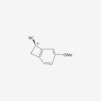 COc1ccc2c(c1)[C@H](C#N)C2